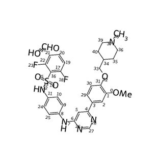 COc1cc(-c2cc(Nc3ccc(NS(=O)(=O)c4c(F)cccc4F)cc3)ncn2)ccc1OCC1CCN(C)CC1.O=CO